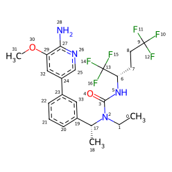 CCN(C(=O)N[C@@H](CCC(F)(F)F)C(F)(F)F)[C@H](C)c1cccc(-c2cnc(N)c(OC)c2)c1